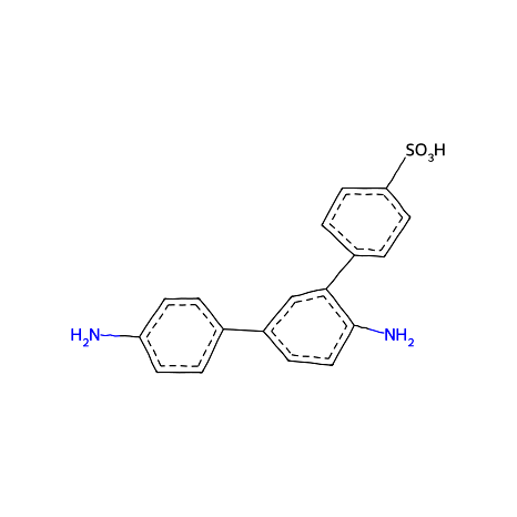 Nc1ccc(-c2ccc(N)c(-c3ccc(S(=O)(=O)O)cc3)c2)cc1